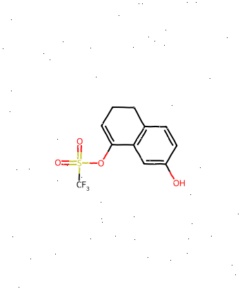 O=S(=O)(OC1=CCCc2ccc(O)cc21)C(F)(F)F